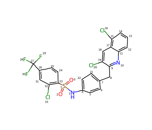 O=S(=O)(Nc1ccc(Cc2nc3cccc(Cl)c3cc2Cl)cc1)c1ccc(C(F)(F)F)cc1Cl